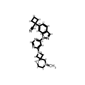 CN1CCOC2(C1)CN(c1cc(-n3ncc4ccc(C5(C#N)CCC5)cc43)ncn1)C2